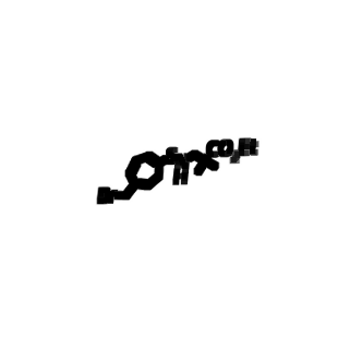 CCOC(=O)C(C)(C)CNSC1=CC=CC(CBr)=CC1